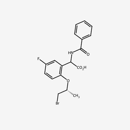 C[C@H](CBr)Oc1ccc(F)cc1C(NC(=O)c1ccccc1)C(=O)O